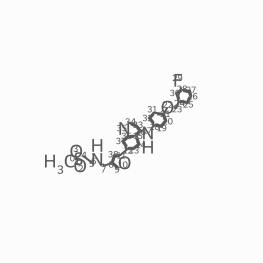 CS(=O)(=O)CCNCc1coc(-c2ccc3c(Nc4ccc(OCc5cccc(F)c5)cc4)ccnc3c2)c1